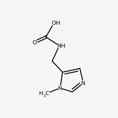 Cn1cncc1CNC(=O)O